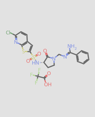 NC(=NCN1CC[C@H](NS(=O)(=O)c2cc3ccc(Cl)nc3s2)C1=O)c1ccccc1.O=C(O)C(F)(F)F